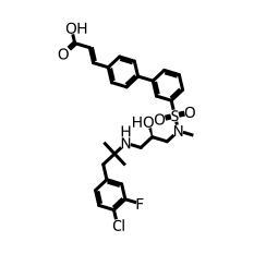 CN(C[C@H](O)CNC(C)(C)Cc1ccc(Cl)c(F)c1)S(=O)(=O)c1cccc(-c2ccc(C=CC(=O)O)cc2)c1